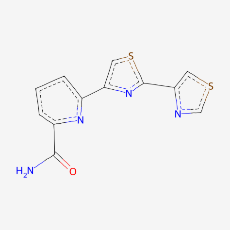 NC(=O)c1cccc(-c2csc(-c3cscn3)n2)n1